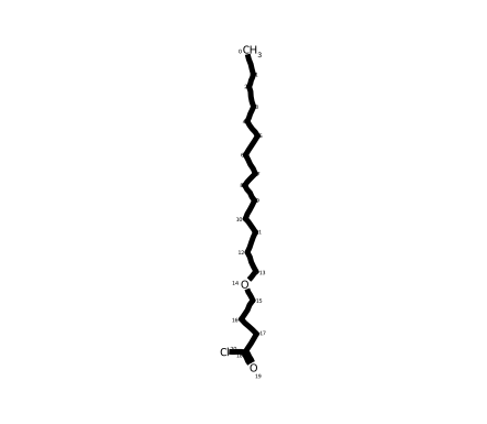 CCCCCCCCCCCCCCOCCCC(=O)Cl